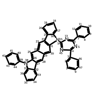 c1ccc(-c2nc(-c3ccccc3)nc(-n3c4ccccc4c4cc5cc6c(cc5cc43)c3ccccc3n6-c3ccccc3)n2)cc1